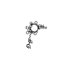 CC[C@H]1OC(=O)[C@H](C)C(=O)[C@H](C)[C@@H](O)[C@@](C)(OC)C[C@@H](C)C(=O)[C@H](C)[C@H]2N(CCCCn3cnc(-c4cccnc4)c3)C(=O)O[C@]12C